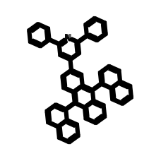 c1ccc(-c2cc(-c3ccc4c(-c5cccc6ccccc56)c5ccccc5c(-c5cccc6ccccc56)c4c3)cc(-c3ccccc3)n2)cc1